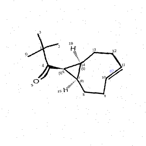 CC(C)(C)C(=O)[C@@H]1[C@@H]2CC/C=C/CC[C@@H]21